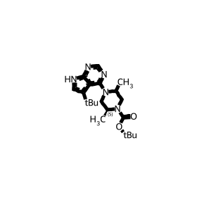 CC1CN(C(=O)OC(C)(C)C)[C@@H](C)CN1c1ncnc2[nH]cc(C(C)(C)C)c12